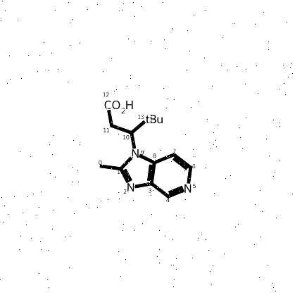 Cc1nc2cnccc2n1C(CC(=O)O)C(C)(C)C